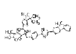 Cc1ccccc1-c1ccc(-c2cnc(-c3ccc(C[C@H](NC(=O)c4ccc(C(C)(C)C)s4)C(=O)N[C@H](C)C(=O)O)cc3)nc2)cc1